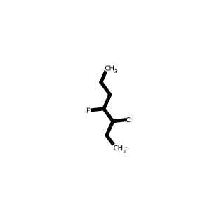 [CH2]CC(Cl)C(F)CCC